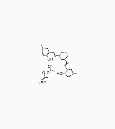 CC(=O)[O-].CC(=O)[O-].Cc1ccc(O)c(C=NC2CCCC(N=Cc3cc(C)ccc3O)C2)c1.[Co+2]